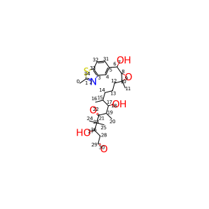 Cc1nc2cc(C(O)C3OC3(C)CCCC(C)C(O)C(C)C(=O)C(C)(C)C(O)CC=O)ccc2s1